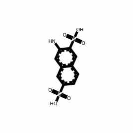 [NH]c1cc2cc(S(=O)(=O)O)ccc2cc1S(=O)(=O)O